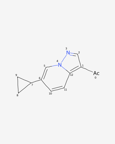 CC(=O)c1cnn2cc(C3CC3)ccc12